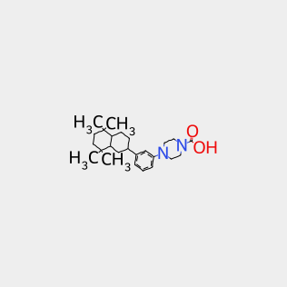 CC1(C)CCC(C)(C)C2CC(c3cccc(N4CCN(C(=O)O)CC4)c3)CCC21